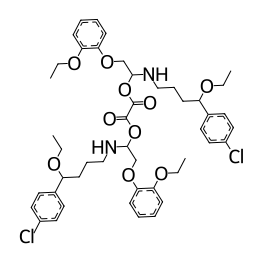 CCOc1ccccc1OCC(NCCCC(OCC)c1ccc(Cl)cc1)OC(=O)C(=O)OC(COc1ccccc1OCC)NCCCC(OCC)c1ccc(Cl)cc1